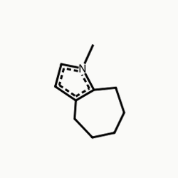 Cn1ccc2c1CCCCC2